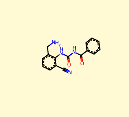 N#Cc1cccc(CN)c1NC(=O)NC(=O)c1ccccc1